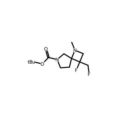 CN1CC(F)(CF)C12CCN(C(=O)OC(C)(C)C)C2